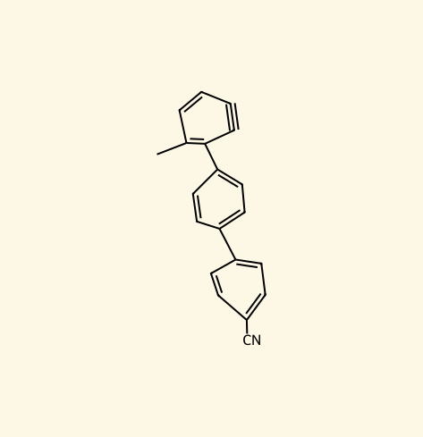 Cc1ccc#cc1-c1ccc(-c2ccc(C#N)cc2)cc1